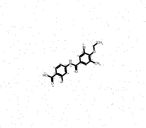 CCOc1c(C)cc(C(=O)Nc2ccc(C(=O)O)c(F)c2)cc1Br